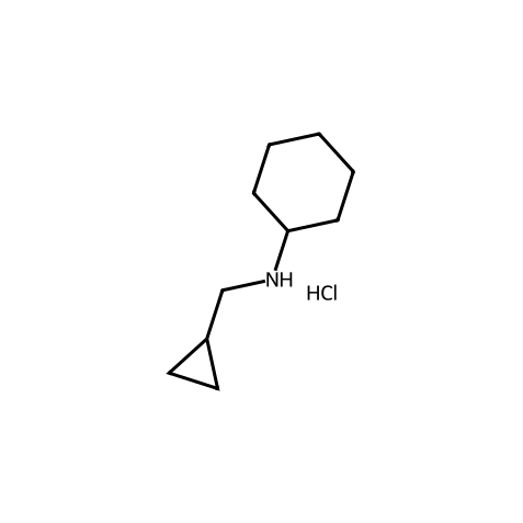 C1CCC(NCC2CC2)CC1.Cl